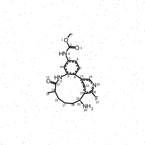 COC(=O)Nc1ccc2c(c1)NC(=O)C(C)CCC[C@H](N)c1cc-2cnc1F